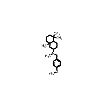 CN(Cc1ccc(OC(C)(C)C)cc1)C1CCC2C(C)(C)CCCC2(C)C1